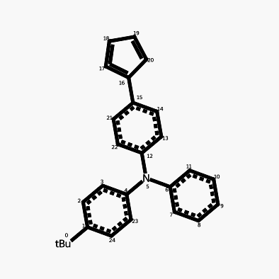 CC(C)(C)c1ccc(N(c2ccccc2)c2ccc(C3=C=CC=C3)cc2)cc1